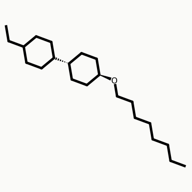 CCCCCCCCO[C@H]1CC[C@H](C2CCC(CC)CC2)CC1